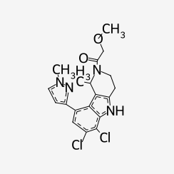 COCC(=O)N1CCc2[nH]c3c(Cl)c(Cl)cc(-c4ccn(C)n4)c3c2C1C